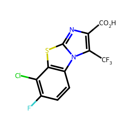 O=C(O)c1nc2sc3c(Cl)c(F)ccc3n2c1C(F)(F)F